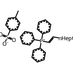 CCCCCCC/C=C/[P+](c1ccccc1)(c1ccccc1)c1ccccc1.Cc1ccc(S(=O)(=O)[O-])cc1